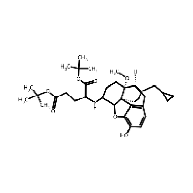 CO[C@@]12CCC(N[C@@H](CCC(=O)OC(C)(C)C)C(=O)OC(C)(C)C)C3Oc4c(O)ccc5c4[C@@]31CCN(CC1CC1)[C@@H]2C5